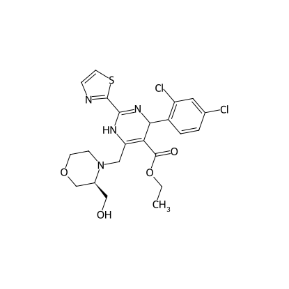 CCOC(=O)C1=C(CN2CCOC[C@@H]2CO)NC(c2nccs2)=NC1c1ccc(Cl)cc1Cl